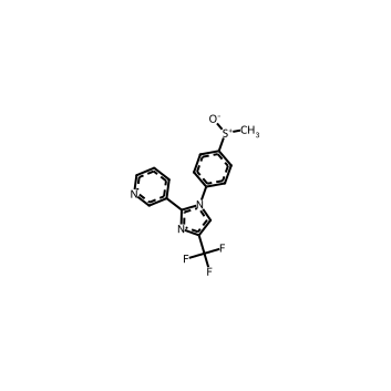 C[S+]([O-])c1ccc(-n2cc(C(F)(F)F)nc2-c2cccnc2)cc1